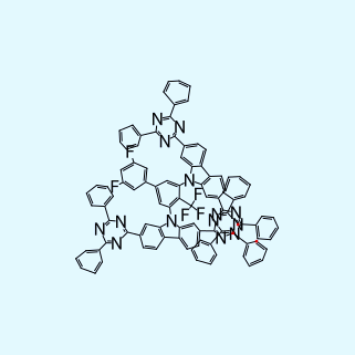 Fc1cc(F)cc(-c2cc(-n3c4cc(-c5nc(-c6ccccc6)nc(-c6ccccc6)n5)ccc4c4ccc(-c5nc(-c6ccccc6)nc(-c6ccccc6)n5)cc43)c(C(F)(F)F)c(-n3c4cc(-c5nc(-c6ccccc6)nc(-c6ccccc6)n5)ccc4c4ccc(-c5nc(-c6ccccc6)nc(-c6ccccc6)n5)cc43)c2)c1